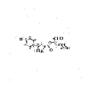 CCCCNCC(C=O)OC(=O)c1cc(-c2ccc(Br)cc2)[nH]n1